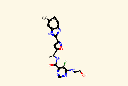 C[C@H](NC(=O)c1ncnc(NCCO)c1Cl)c1cc(-c2nc3ccc(C(F)(F)F)cc3[nH]2)no1